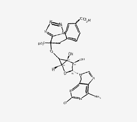 CCOC(=O)C(Cc1ccc(C(=O)O)cc1)(OC1[C@H]2O[C@@H](n3cnc4c(N)nc(Cl)nc43)[C@H](O)[C@@]12O)c1nnn[nH]1